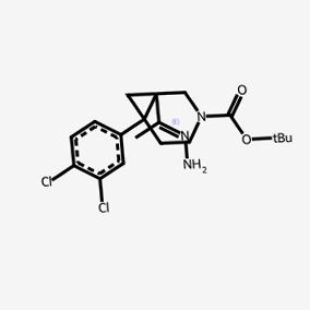 C/C(=N\N)C12CN(C(=O)OC(C)(C)C)CCC1(c1ccc(Cl)c(Cl)c1)C2